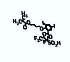 C=C(C)C(=O)OCCCCOc1c(I)cc(I)cc1C(=O)OC(C(F)(F)F)C(F)(F)S(=O)(=O)O